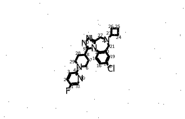 Fc1ccc(N2CCC(c3nnc4n3-c3ccc(Cl)cc3CN(C3CCC3)C4)CC2)nc1